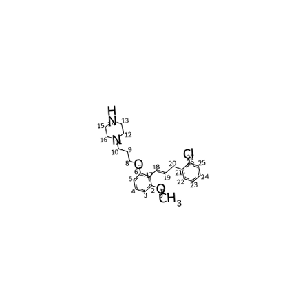 COc1cccc(OCCCN2CCNCC2)c1C=CCc1ccccc1Cl